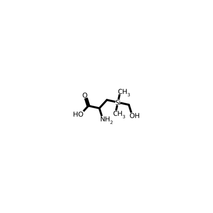 C[Si](C)(CO)CC(N)C(=O)O